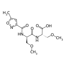 COC[C@H](NC(=O)[C@@H](COC)NC(=O)c1cc(C)on1)C(=O)O